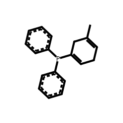 CC1=CCC=C(P(c2ccccc2)c2ccccc2)C1